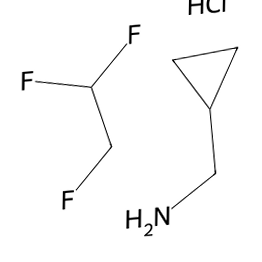 Cl.FCC(F)F.NCC1CC1